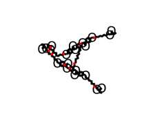 C=CC(=O)OCCCCCCCCOc1ccc(C(=O)Oc2ccc(OC(=O)c3ccc(OCCCCCCCCOC(=O)C=C)cc3)c(CCCCCCCCCc3cc(OC(=O)c4ccc(OCCCCCCCCOC(=O)C=C)cc4)ccc3OC(=O)c3ccc(OCCCCCCCCOC(=O)C=C)cc3)c2)cc1